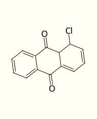 O=C1C2=CC=CC(Cl)C2C(=O)c2ccccc21